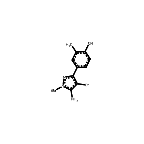 CCc1c(-c2ccc(C#N)c(C)c2)nn(C(C)CC)c1N